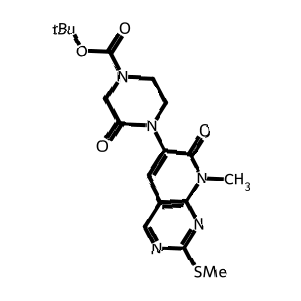 CSc1ncc2cc(N3CCN(C(=O)OC(C)(C)C)CC3=O)c(=O)n(C)c2n1